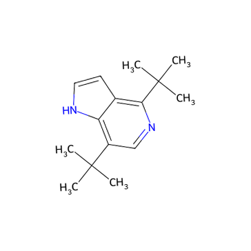 CC(C)(C)c1ncc(C(C)(C)C)c2[nH]ccc12